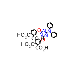 O=C(O)c1ccc(Oc2nc(Oc3ccc(C(=O)O)c(C(=O)O)c3)nc(N(c3ccccc3)c3ccccc3)n2)cc1C(=O)O